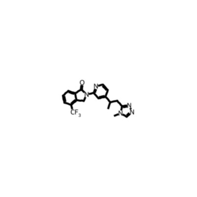 CC(Cc1nncn1C)c1ccnc(N2Cc3c(cccc3C(F)(F)F)C2=O)c1